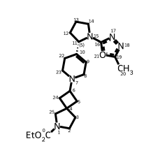 CCOC(=O)N1CCC2(CC(N3CC=C([C@@H]4CCCN4c4nnc(C)o4)CC3)C2)C1